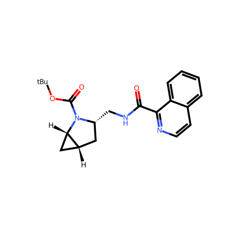 CC(C)(C)OC(=O)N1[C@H](CNC(=O)c2nccc3ccccc23)C[C@@H]2C[C@@H]21